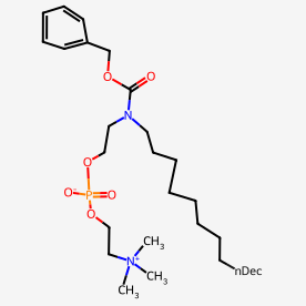 CCCCCCCCCCCCCCCCCCN(CCOP(=O)([O-])OCC[N+](C)(C)C)C(=O)OCc1ccccc1